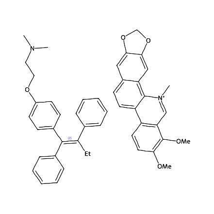 CC/C(=C(\c1ccccc1)c1ccc(OCCN(C)C)cc1)c1ccccc1.COc1ccc2c(c[n+](C)c3c4cc5c(cc4ccc23)OCO5)c1OC